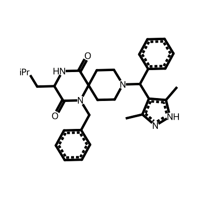 Cc1n[nH]c(C)c1C(c1ccccc1)N1CCC2(CC1)C(=O)NC(CC(C)C)C(=O)N2Cc1ccccc1